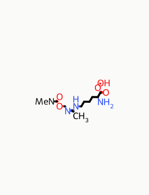 CNC(=O)OCN=C(C)NCCCC[C@H](N)C(=O)OO